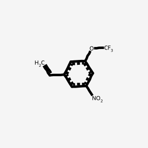 C=Cc1cc(OC(F)(F)F)cc([N+](=O)[O-])c1